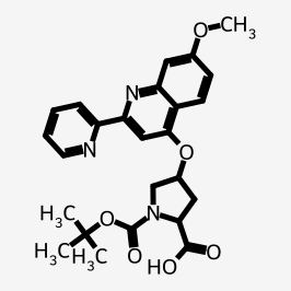 COc1ccc2c(OC3CC(C(=O)O)N(C(=O)OC(C)(C)C)C3)cc(-c3ccccn3)nc2c1